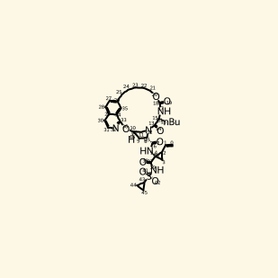 C=CC1C[C@]1(NC(=O)[C@@H]1C[C@@H]2CN1C(=O)[C@H](CCCC)NC(=O)OCCCCCc1ccc3ccnc(c3c1)O2)C(=O)NS(=O)(=O)C1CC1